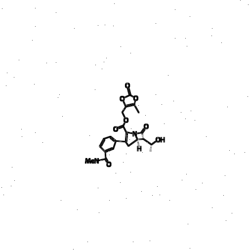 CNC(=O)c1cccc(C2=C(C(=O)OCc3oc(=O)oc3C)N3C(=O)[C@H]([C@@H](C)O)[C@H]3C2)c1